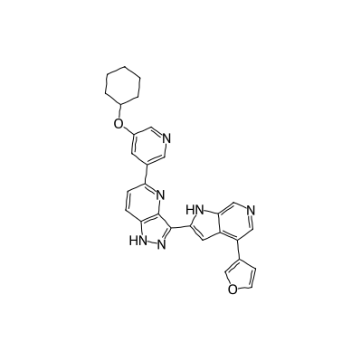 c1cc(-c2cncc3[nH]c(-c4n[nH]c5ccc(-c6cncc(OC7CCCCC7)c6)nc45)cc23)co1